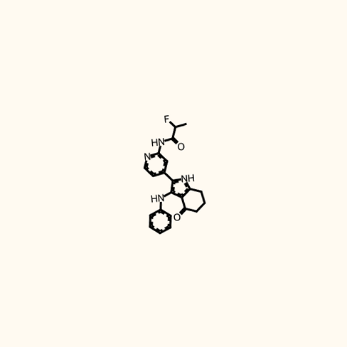 CC(F)C(=O)Nc1cc(-c2[nH]c3c(c2Nc2ccccc2)C(=O)CCC3)ccn1